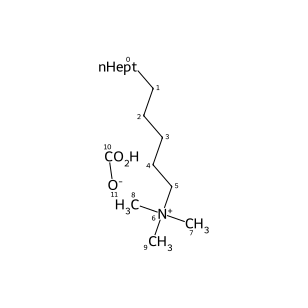 CCCCCCCCCCCC[N+](C)(C)C.O=C([O-])O